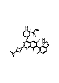 C=CC(=O)[C@@]1(C)CN(c2nc(N3CC(N(C)C)C3)nc3c(F)c(-c4c(C)ccc5cn[nH]c45)c(Cl)cc23)CCN1